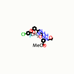 COC(=O)c1ccc(NC(=O)Cc2ncc(-c3cccc4c3OC(C)(c3ccc(Cl)cc3F)O4)cn2)c(NCC2CCO2)c1